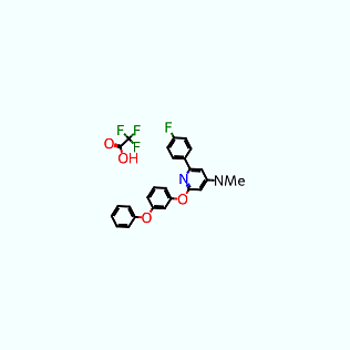 CNc1cc(Oc2cccc(Oc3ccccc3)c2)nc(-c2ccc(F)cc2)c1.O=C(O)C(F)(F)F